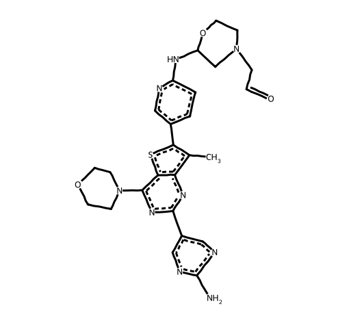 Cc1c(-c2ccc(NC3CN(CC=O)CCO3)nc2)sc2c(N3CCOCC3)nc(-c3cnc(N)nc3)nc12